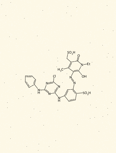 CCn1c(O)c(/N=N/c2cc(Nc3nc(Cl)nc(Nc4ccccc4)n3)ccc2S(=O)(=O)O)c(C)c(CS(=O)(=O)O)c1=O